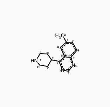 Cc1ccc2ncnc(C3CCNCC3)c2c1